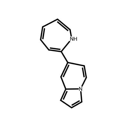 C1=CC=C(c2ccn3cccc3c2)NC=C1